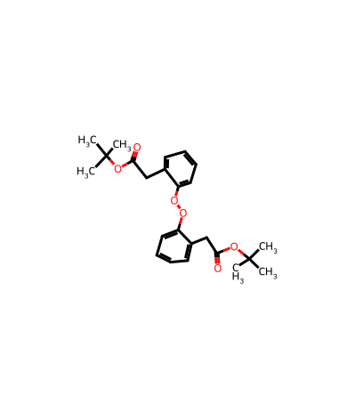 CC(C)(C)OC(=O)Cc1ccccc1OOc1ccccc1CC(=O)OC(C)(C)C